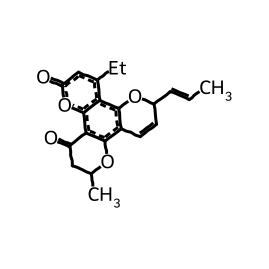 C/C=C/C1C=Cc2c3c(c4oc(=O)cc(CC)c4c2O1)C(=O)CC(C)O3